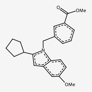 COC(=O)c1cccc(Cn2c(C3CCCC3)cc3cc(OC)ccc32)c1